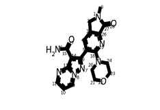 CN1Cc2cc(-c3nn4cccnc4c3C(N)=O)c(N3CCOCC3)nc2C1=O